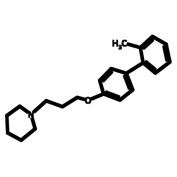 Cc1ccccc1-c1ccc(OCCCN2CCCCC2)cc1